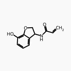 C=CC(=O)NC1COc2c(O)cccc21